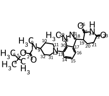 CN(C(=O)OC(C)(C)C)C1CCN(c2cccc3c(C4CCC(=O)NC4=O)nn(C)c23)CC1